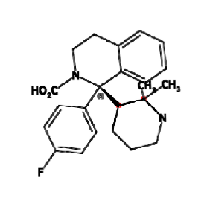 CC1(C)C([C@]2(c3ccc(F)cc3)c3ccccc3CCN2C(=O)O)C2CCN1CC2